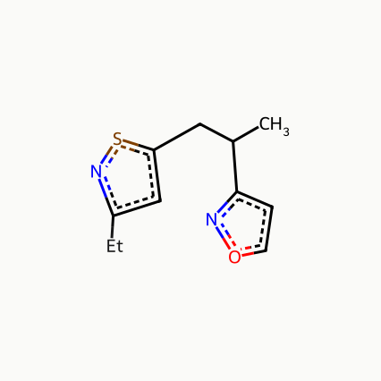 CCc1cc(CC(C)c2ccon2)sn1